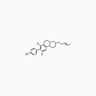 C/C=C/CCC1CCC2c3cc(F)c(-c4ccc(Cl)cc4)c(F)c3CCC2C1